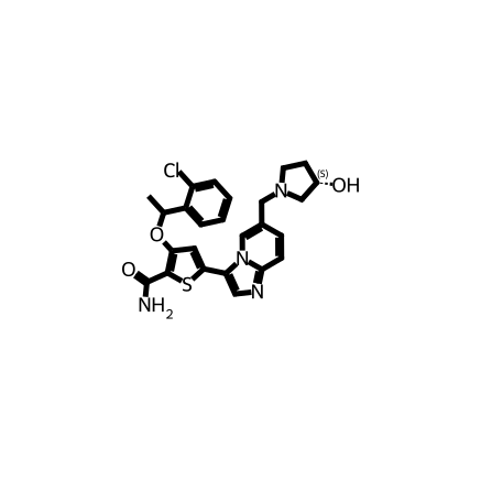 CC(Oc1cc(-c2cnc3ccc(CN4CC[C@H](O)C4)cn23)sc1C(N)=O)c1ccccc1Cl